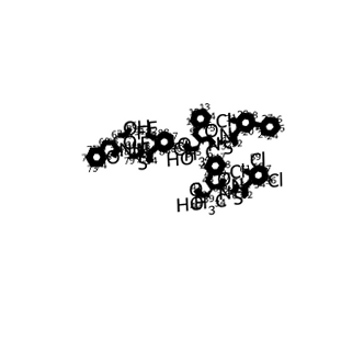 CN(C(=O)[C@@H](CC(=O)O)Cc1ccccc1)c1nc(-c2cc(-c3ccccc3)ccc2Cl)cs1.CN(C(=O)[C@@H](CC(=O)O)Cc1ccccc1)c1nc(-c2cc(Cl)cc(Cl)c2Cl)cs1.O=C(O)C[C@@H](Cc1ccccc1)C(=O)NCc1nc(-c2cc(Cl)ccc2C(F)(F)F)cs1